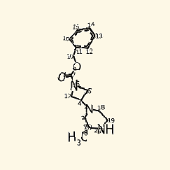 C[C@@H]1CN(C2CN(C(=O)OCc3ccccc3)C2)CCN1